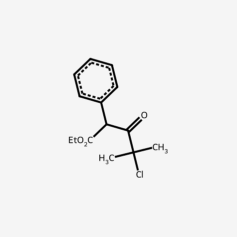 CCOC(=O)C(C(=O)C(C)(C)Cl)c1ccccc1